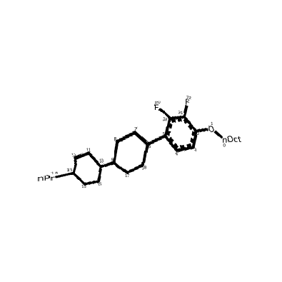 CCCCCCCCOc1ccc(C2CCC(C3CCC(CCC)CC3)CC2)c(F)c1F